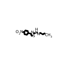 CC=CC=NNc1nc(-c2ccc([N+](=O)[O-])cc2)cs1